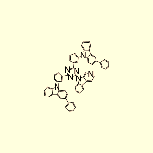 c1ccc(-c2ccc3c(c2)c2ccccc2n3-c2cccc(-c3nc(-c4cccc(-n5c6ccccc6c6cc(-c7ccccc7)ccc65)c4)nc(-n4c5ccccc5c5ccncc54)n3)c2)cc1